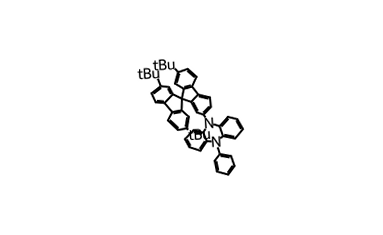 CC(C)(C)c1ccc2c(c1)C1(c3cc(N4c5ccccc5N(c5ccccc5)c5ccccc54)ccc3-2)c2cc(C(C)(C)C)ccc2-c2ccc(C(C)(C)C)cc21